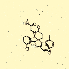 CNC(=O)CN1C(=O)C[C@H](c2cc(F)ccc2C)[C@@]2(C(=O)Nc3cc(Cl)ccc32)[C@@H]1c1cccc(Cl)c1